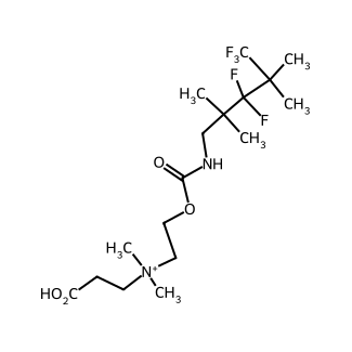 CC(C)(CNC(=O)OCC[N+](C)(C)CCC(=O)O)C(F)(F)C(C)(C)C(F)(F)F